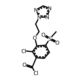 CS(=O)(=O)c1ccc(C(=O)Cl)c(Cl)c1OCCn1ncnn1